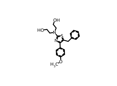 COc1ccc(-c2nc(N(CCO)CCO)sc2Cc2ccccc2)cc1